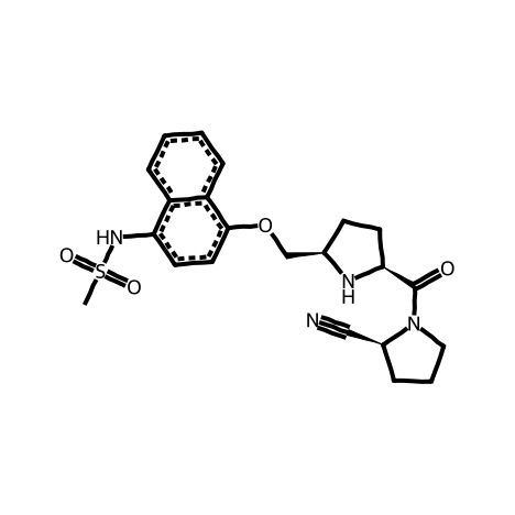 CS(=O)(=O)Nc1ccc(OC[C@H]2CC[C@@H](C(=O)N3CCC[C@H]3C#N)N2)c2ccccc12